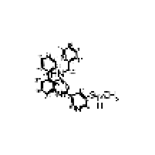 CPSc1cncc(-c2nc(NCc3ccccn3)c3c(-c4ccccc4)cccc3n2)c1